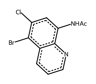 CC(=O)Nc1cc(Cl)c(Br)c2cccnc12